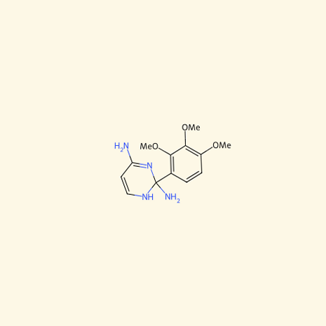 COc1ccc(C2(N)N=C(N)C=CN2)c(OC)c1OC